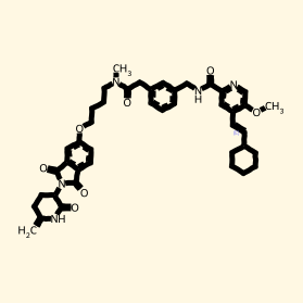 C=C1CCC(N2C(=O)c3ccc(OCCCCN(C)C(=O)Cc4cccc(CNC(=O)c5cc(/C=C/C6CCCCC6)c(OC)cn5)c4)cc3C2=O)C(=O)N1